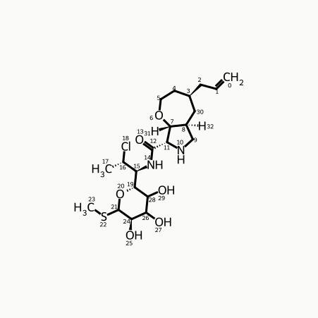 C=CC[C@@H]1CCO[C@@H]2[C@H](CN[C@@H]2C(=O)N[C@H]([C@H](C)Cl)[C@H]2OC(SC)[C@H](O)C(O)C2O)C1